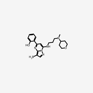 Bc1cnn2c(NCCCN(C)C3CCOCC3)cc(-c3ccccc3O)nc12